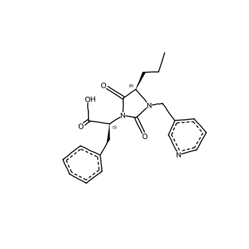 CCC[C@@H]1C(=O)N([C@@H](Cc2ccccc2)C(=O)O)C(=O)N1Cc1cccnc1